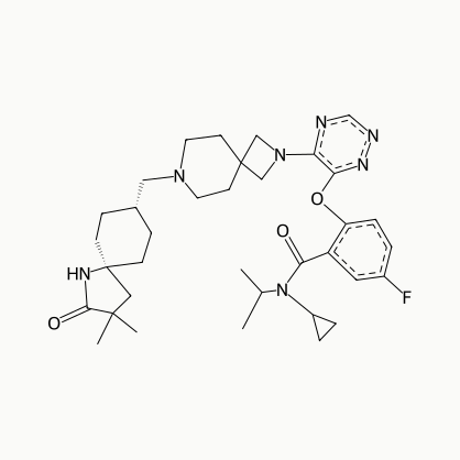 CC(C)N(C(=O)c1cc(F)ccc1Oc1nncnc1N1CC2(CCN(C[C@H]3CC[C@]4(CC3)CC(C)(C)C(=O)N4)CC2)C1)C1CC1